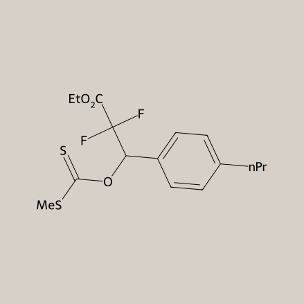 CCCc1ccc(C(OC(=S)SC)C(F)(F)C(=O)OCC)cc1